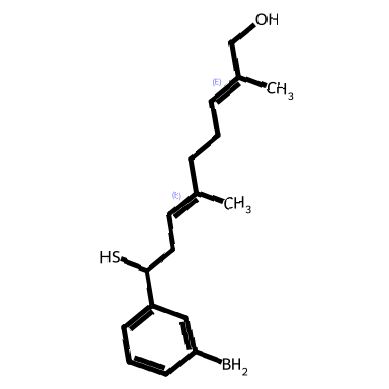 Bc1cccc(C(S)C/C=C(\C)CC/C=C(\C)CO)c1